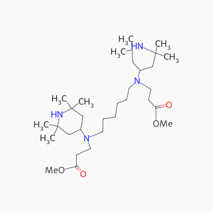 COC(=O)CCN(CCCCCCN(CCC(=O)OC)C1CC(C)(C)NC(C)(C)C1)C1CC(C)(C)NC(C)(C)C1